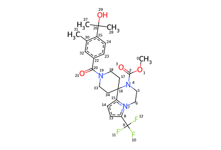 COC(=O)N1CCn2c(C(F)(F)F)ccc2C12CCN(C(=O)c1ccc(C(C)(C)O)c(C)c1)CC2